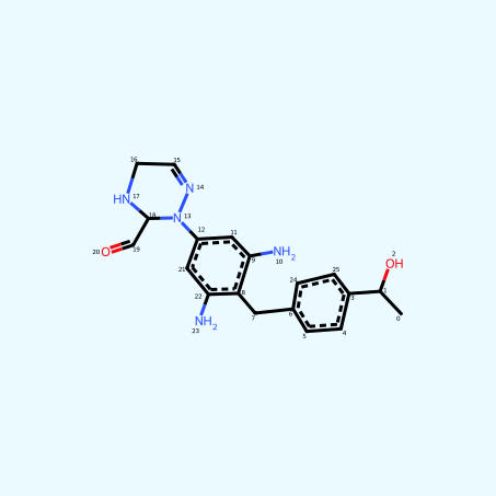 CC(O)c1ccc(Cc2c(N)cc(N3N=CCNC3C=O)cc2N)cc1